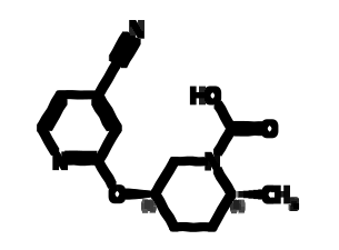 C[C@@H]1CC[C@@H](Oc2cc(C#N)ccn2)CN1C(=O)O